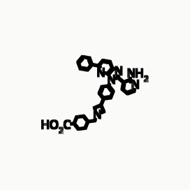 Nc1ncccc1-c1nc2ccc(-c3ccccc3)nc2n1-c1ccc(C2CN(CC3CCC(C(=O)O)CC3)C2)cc1